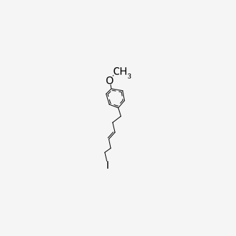 COc1ccc(CC/C=C/CCI)cc1